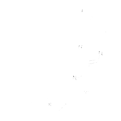 Fc1cccc(-c2ncc(-c3c[nH]c(C4CCN(Cc5ccccc5)CC4)n3)cn2)c1